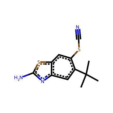 CC(C)(C)c1cc2nc(N)sc2cc1SC#N